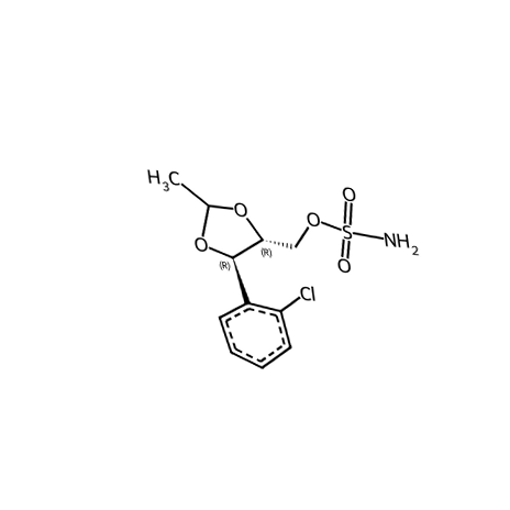 CC1O[C@H](c2ccccc2Cl)[C@@H](COS(N)(=O)=O)O1